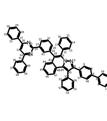 c1ccc(-c2ccc(-c3nn4c(-c5ccccc5)c(-c5cccc(-c6nc(-c7ccccc7)cc(-c7ccccc7)n6)c5)c5ccccc5c4c3-c3ccccc3)cc2)cc1